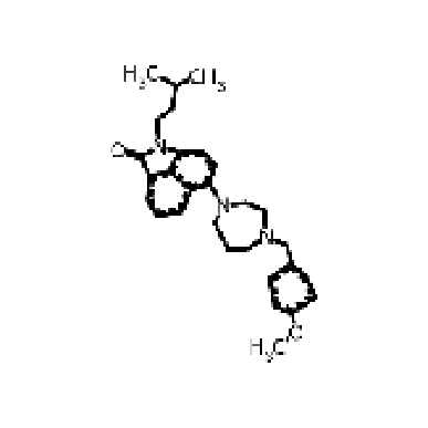 COc1ccc(CN2CCCN(c3ccc4c5c(cccc35)C(=O)N4CCC(C)C)CC2)cc1